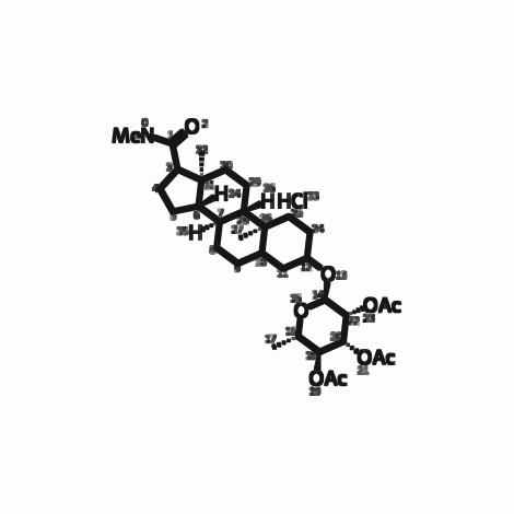 CNC(=O)C1CC[C@H]2[C@@H]3CCC4CC(O[C@@H]5O[C@@H](C)[C@H](OC(C)=O)[C@@H](OC(C)=O)[C@H]5OC(C)=O)CC[C@]4(C)[C@H]3CC[C@]12C.Cl